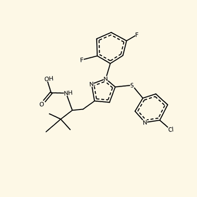 CC(C)(C)C(Cc1cc(Sc2ccc(Cl)nc2)n(-c2cc(F)ccc2F)n1)NC(=O)O